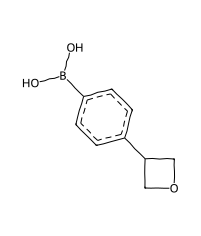 OB(O)c1ccc(C2COC2)cc1